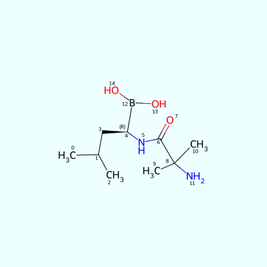 CC(C)C[C@H](NC(=O)C(C)(C)N)B(O)O